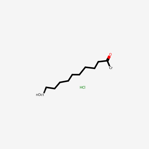 CCCCCCCCCCCCCCCCC[C](=O)[Cr].Cl